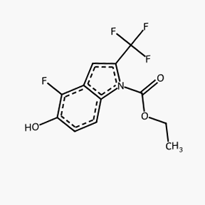 CCOC(=O)n1c(C(F)(F)F)cc2c(F)c(O)ccc21